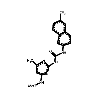 CONc1cc(C)nc(NC(=O)Nc2ccc3cc(C)ccc3c2)n1